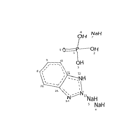 O=P(O)(O)O.[NaH].[NaH].[NaH].c1ccc2[nH]nnc2c1